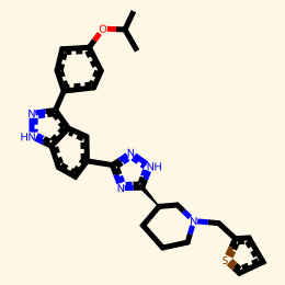 CC(C)Oc1ccc(-c2n[nH]c3ccc(-c4n[nH]c([C@@H]5CCCN(Cc6cccs6)C5)n4)cc23)cc1